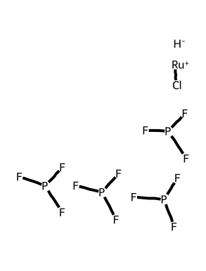 FP(F)F.FP(F)F.FP(F)F.FP(F)F.[Cl][Ru+].[H-]